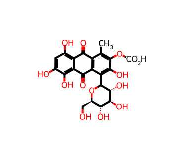 Cc1c(OC(=O)O)c(O)c(C2O[C@H](CO)[C@@H](O)[C@H](O)[C@H]2O)c2c1C(=O)c1c(O)cc(O)c(O)c1C2=O